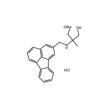 COCC(C)(CO)NCc1cc2c3c(cccc3c1)-c1ccccc1-2.Cl